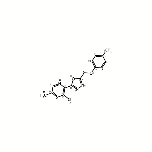 FC(F)(F)c1ccc(OCc2nnc(-c3ncc(C(F)(F)F)cc3Cl)o2)cc1